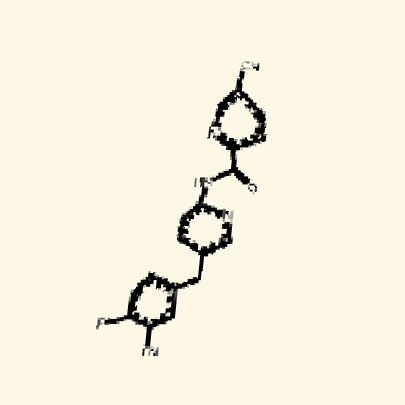 N#Cc1ccc(C(=O)Nc2ccc(Cc3ccc(F)c(C#N)c3)cn2)nc1